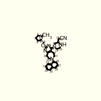 CN1CCC[C@H]1COc1nc2c(c(N3CCNC(CC#N)C3)n1)CCN(c1cccc3ccccc13)CC2